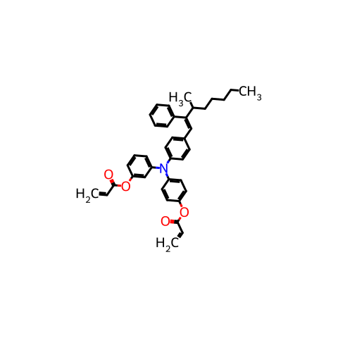 C=CC(=O)Oc1ccc(N(c2ccc(/C=C(\c3ccccc3)C(C)CCCCC)cc2)c2cccc(OC(=O)C=C)c2)cc1